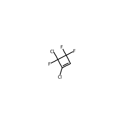 FC1(F)C=C(Cl)C1(F)Cl